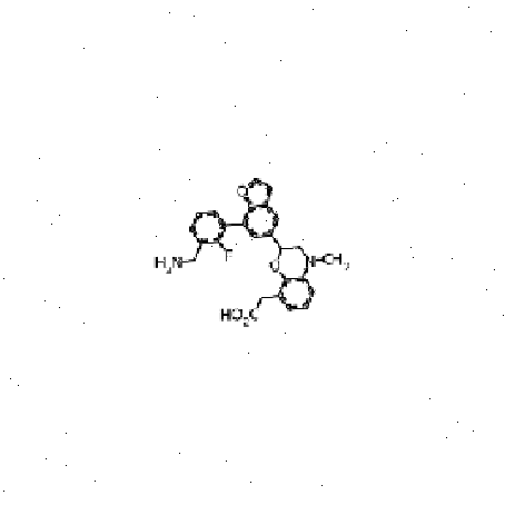 CN1CC(c2cc(-c3cccc(CN)c3F)c3occc3c2)Oc2c(CC(=O)O)cccc21